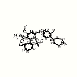 COc1nc(Nc2ccc(C3CCN(C)CC3)c(C)c2)nc(-c2c(Cl)cccc2C(F)(F)F)c1C(N)=O